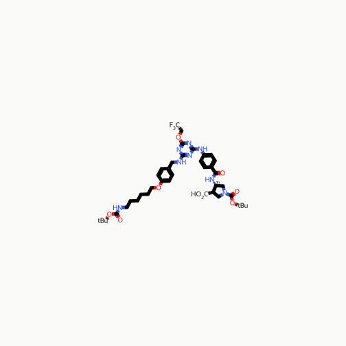 CC(C)(C)OC(=O)NCCCCCCOc1ccc(CNc2nc(Nc3ccc(C(=O)N[C@H]4CN(C(=O)OC(C)(C)C)CC4C(=O)O)cc3)nc(OCC(F)(F)F)n2)cc1